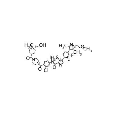 COCCn1nc(C)c(-c2ccc(-c3cnc(C(=O)Nc4ccc(C(=O)N5CCN(C(=O)C6CC[N+](C)(CCO)CC6)CC5)c(Cl)c4)n3C)c(F)c2F)c1C